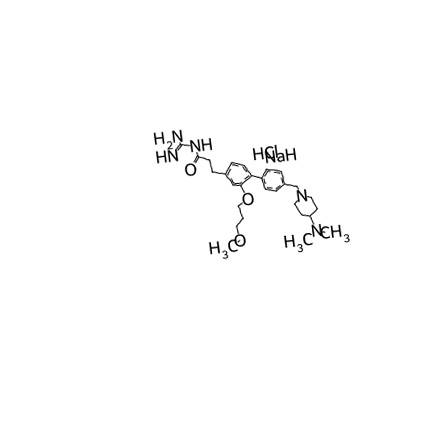 COCCCOc1cc(CCC(=O)NC(=N)N)ccc1-c1ccc(CN2CCC(N(C)C)CC2)cc1.Cl.[NaH]